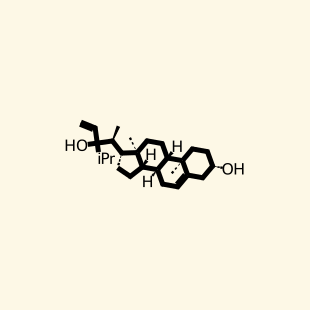 C=CC(O)(C(C)C)[C@@H](C)[C@H]1CC[C@H]2[C@@H]3CC=C4C[C@@H](O)CC[C@]4(C)[C@H]3CC[C@]12C